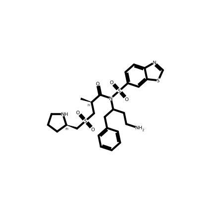 C[C@H](CS(=O)(=O)C[C@H]1CCCN1)C(=O)N(C(CCN)Cc1ccccc1)S(=O)(=O)c1ccc2ncsc2c1